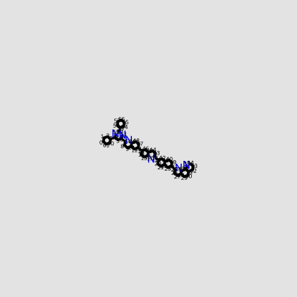 c1ccc(-c2cc(-c3ccc4cc(-c5ccc6nc(-c7ccc8cc(-c9ccc%10ccc%11cccnc%11c%10n9)ccc8c7)ccc6c5)ccc4n3)nc(-c3ccccc3)n2)cc1